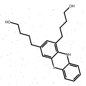 OCCCCc1cc(CCCCO)c2c(c1)Sc1ccccc1N2